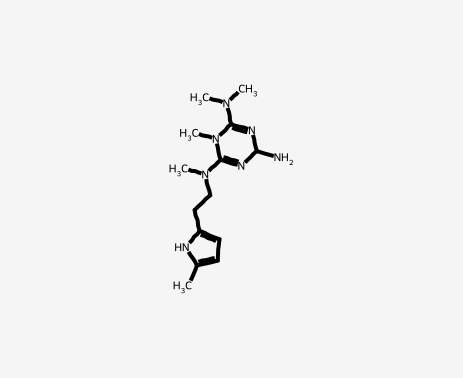 Cc1ccc(CCN(C)C2=NC(N)N=C(N(C)C)N2C)[nH]1